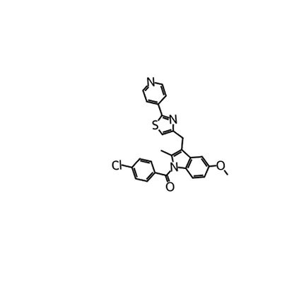 COc1ccc2c(c1)c(Cc1csc(-c3ccncc3)n1)c(C)n2C(=O)c1ccc(Cl)cc1